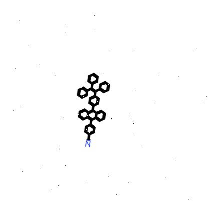 N#Cc1ccc(-c2c3ccccc3c(-c3ccc(C(=C(c4ccccc4)c4ccccc4)c4ccccc4)cc3)c3ccccc23)cc1